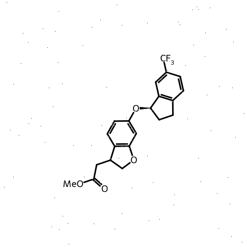 COC(=O)CC1COc2cc(O[C@@H]3CCc4ccc(C(F)(F)F)cc43)ccc21